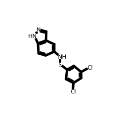 Clc1cc(Cl)cc(SNc2ccc3[nH]ncc3c2)c1